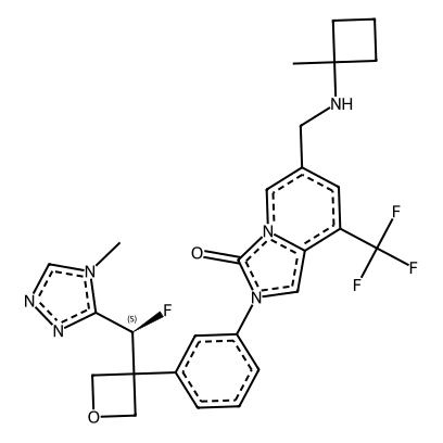 Cn1cnnc1[C@@H](F)C1(c2cccc(-n3cc4c(C(F)(F)F)cc(CNC5(C)CCC5)cn4c3=O)c2)COC1